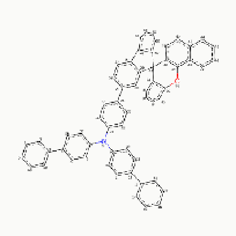 c1ccc(-c2ccc(N(c3ccc(-c4ccccc4)cc3)c3ccc(-c4ccc5c(c4)C4(c6ccccc6Oc6c4ccc4ccccc64)c4ccccc4-5)cc3)cc2)cc1